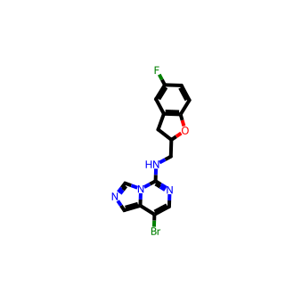 Fc1ccc2c(c1)CC(CNc1ncc(Br)c3cncn13)O2